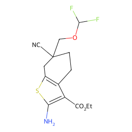 CCOC(=O)c1c(N)sc2c1CCC(C#N)(COC(F)F)C2